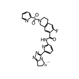 C[C@@H]1CCc2nnc(-c3cccc(NC(=O)c4cc5c(cc4F)CCN(S(=O)(=O)c4ccccn4)C5)n3)n21